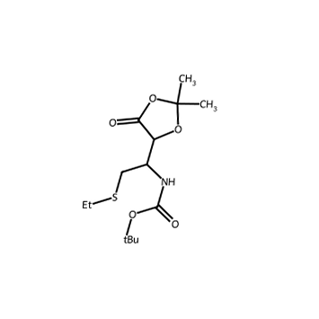 CCSCC(NC(=O)OC(C)(C)C)C1OC(C)(C)OC1=O